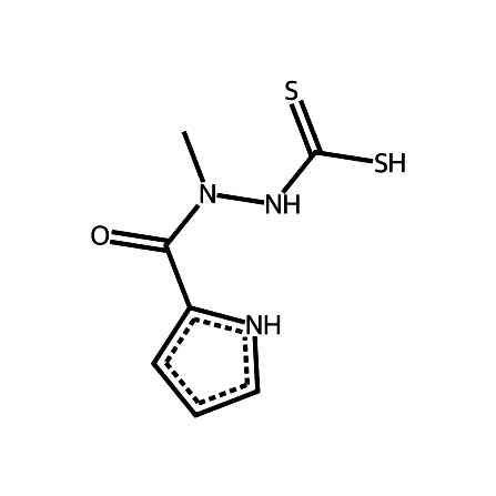 CN(NC(=S)S)C(=O)c1ccc[nH]1